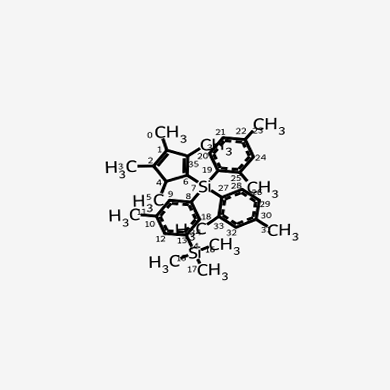 CC1=C(C)C(C)C([Si](c2cc(C)cc([Si](C)(C)C)c2)(c2ccc(C)cc2C)c2ccc(C)cc2C)=C1C